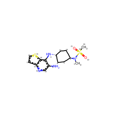 CN([C@H]1CC[C@H](Nc2c(N)cnc3ccsc23)CC1)S(C)(=O)=O